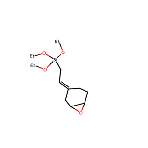 CCO[Si](CC=C1CCC2OC2C1)(OCC)OCC